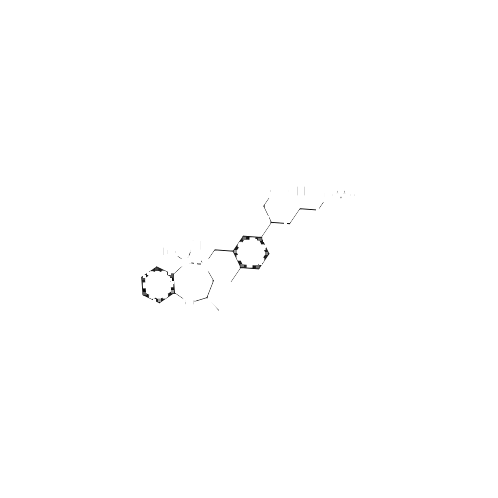 COCCCC(CC(=O)O)c1ccc(C)c(CN2C[C@@H](C)Oc3ccccc3S2(O)O)c1